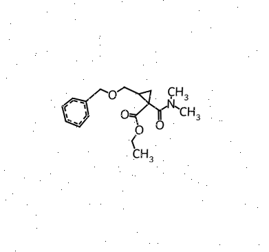 CCOC(=O)C1(C(=O)N(C)C)CC1COCc1ccccc1